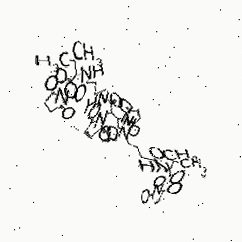 CC(C)[C@H](NC(=O)CCCNC(=O)C(C(C(=O)NCCCC(=O)N[C@@H](C(=O)ON1C(=O)CCC1=O)C(C)C)N1C(=O)C=CC1=O)N1C(=O)C=CC1=O)C(=O)ON1C(=O)CCC1=O